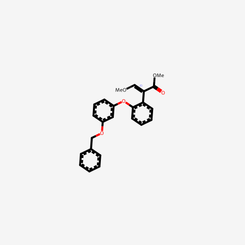 CO/C=C(/C(=O)OC)c1ccccc1Oc1cccc(OCc2ccccc2)c1